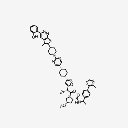 Cc1ncsc1-c1ccc(C(C)NC(=O)[C@@H]2C[C@@H](O)CN2C(=O)[C@@H](c2cc([C@H]3CC[C@@H](c4cnc(N5CCC(c6sc7nnc(-c8ccccc8O)cc7c6C)CC5)nc4)CC3)no2)C(C)C)cc1